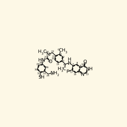 Cc1cc(C(C)Nc2cc3c(=O)[nH]cnc3cc2F)ccc1CN(C)C(=O)Nc1ccc(S)c(CN)c1